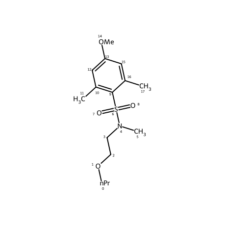 CCCOCCN(C)S(=O)(=O)c1c(C)cc(OC)cc1C